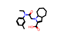 CCN(C(=O)CN1C(C(=O)O)=CC2CCCCCC21)c1cccc(C)c1